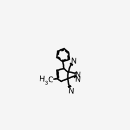 CC1=CC(c2ccccc2)C(C#N)(C#N)C(C#N)(C#N)C1